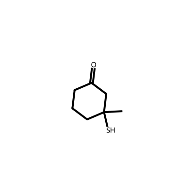 CC1(S)CCCC(=O)C1